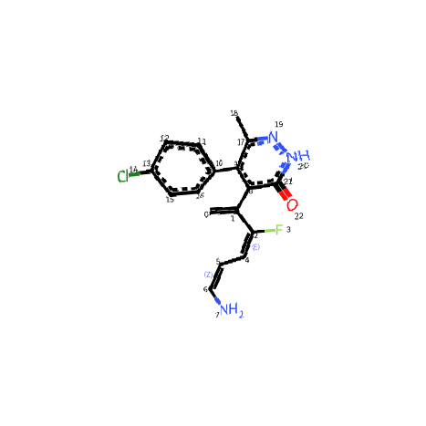 C=C(/C(F)=C\C=C/N)c1c(-c2ccc(Cl)cc2)c(C)n[nH]c1=O